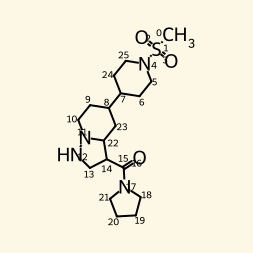 CS(=O)(=O)N1CCC(C2CCN3NCC(C(=O)N4CCCC4)C3C2)CC1